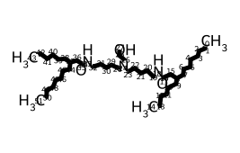 CCCCCCCCC(CCCCCC)CC(=O)NCCCCCN(CCO)CCCCCNC(=O)CC(CCCCCC)CCCCCCCC